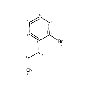 N#CCSc1ccccc1Br